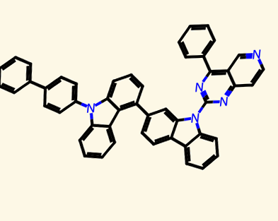 c1ccc(-c2ccc(-n3c4ccccc4c4c(-c5ccc6c7ccccc7n(-c7nc(-c8ccccc8)c8cnccc8n7)c6c5)cccc43)cc2)cc1